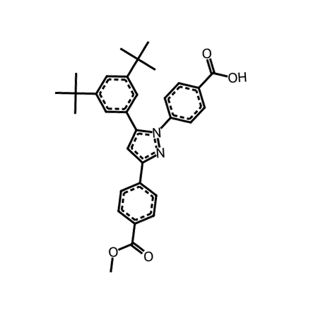 COC(=O)c1ccc(-c2cc(-c3cc(C(C)(C)C)cc(C(C)(C)C)c3)n(-c3ccc(C(=O)O)cc3)n2)cc1